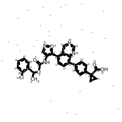 CC(OC(=O)Nc1cnoc1-c1ccc(-c2ccc(C3(C(=O)O)CC3)cc2)c2ncncc12)c1ccccc1Cl